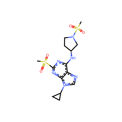 CS(=O)(=O)c1nc(N[C@H]2CCN(S(C)(=O)=O)C2)c2ncn(C3CC3)c2n1